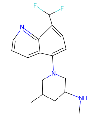 CNC1CC(C)CN(c2ccc(C(F)F)c3ncccc23)C1